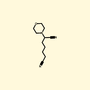 N#CCCCCC(C#N)N1CCOCC1